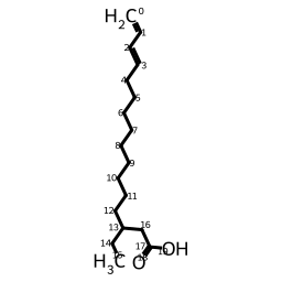 C=CC=CCCCCCCCCCC(CC)CC(=O)O